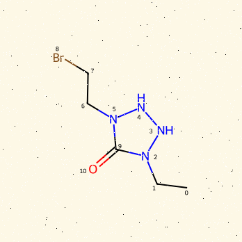 CCN1NNN(CCBr)C1=O